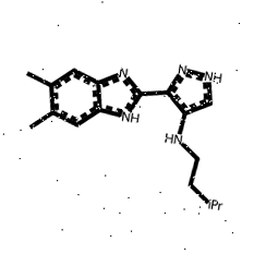 Cc1cc2nc(-c3n[nH]cc3NCCC(C)C)[nH]c2cc1C